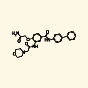 NC(=O)COc1ccc(C(=O)Nc2ccc(-c3ccccc3)cc2)cc1NC(=O)CN1CCOCC1